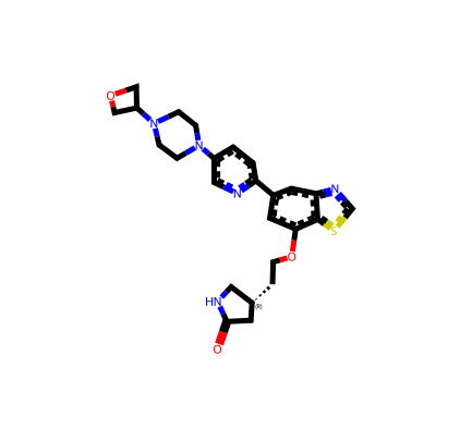 O=C1C[C@@H](CCOc2cc(-c3ccc(N4CCN(C5COC5)CC4)cn3)cc3ncsc23)CN1